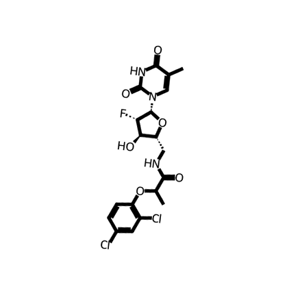 Cc1cn([C@@H]2O[C@H](CNC(=O)C(C)Oc3ccc(Cl)cc3Cl)[C@@H](O)[C@@H]2F)c(=O)[nH]c1=O